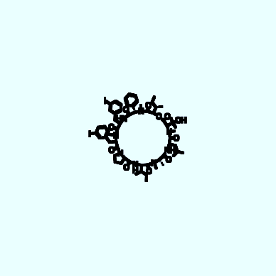 CCC(C)C1NC(=O)C2CCCN2C(=O)C(Cc2cccc(I)c2)N(C)C(=O)C(Cc2cccc(I)c2)NC(=O)[C@H](c2ccccc2)N(C)C(=O)C([C@H](C)CC)OC(=O)C(C(C)(C)O)N(C)C(=O)C(CC(C)C)NC(=O)[C@H](C)N(C)C1=O